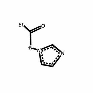 CCC(=O)[N]n1ccnc1